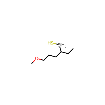 CCC(CCCOC)[SiH2]S